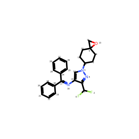 FC(F)c1nn(C2CCC3(CC2)CO3)cc1N=C(c1ccccc1)c1ccccc1